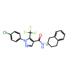 O=C(N[C@H]1CCc2ccccc2C1)c1cnn(-c2ccc(Cl)cc2)c1C(F)(F)F